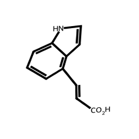 O=C(O)/C=C/c1cccc2[nH]ccc12